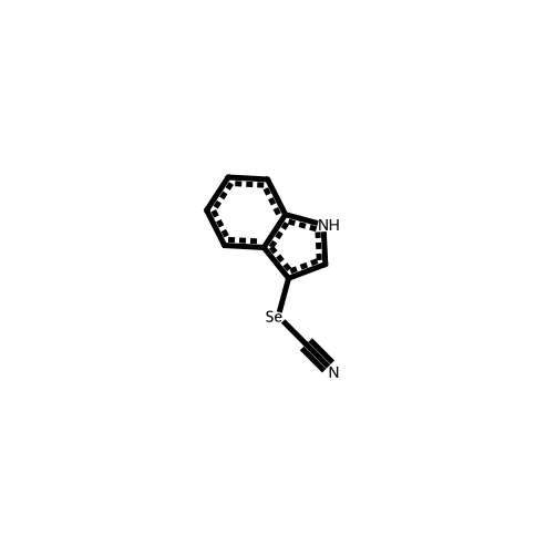 N#C[Se]c1c[nH]c2ccccc12